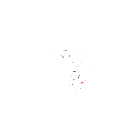 CC1C[C@H]2CC[C@@H](C1)N2C(=O)c1cc2c([nH]c1=O)C[C@]13CCN(CC4CC4)[C@H](Cc4ccc(O)cc41)[C@@H]3C2